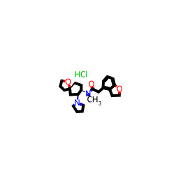 CN(C(=O)Cc1cccc2c1CCO2)[C@H]1CC[C@]2(CCCO2)C[C@@H]1N1CCCC1.Cl